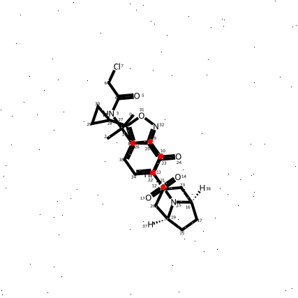 CC(C)(NC(=O)CCl)c1ccc(S(=O)(=O)N2[C@@H]3CC[C@H]2C[C@H](NC(=O)c2cc(C4CC4)on2)C3)cc1